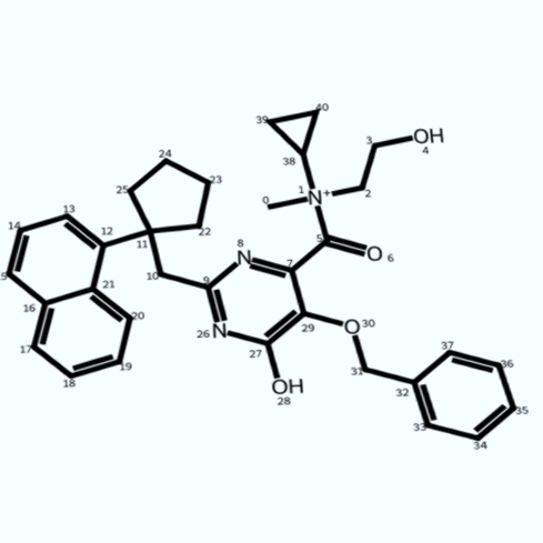 C[N+](CCO)(C(=O)c1nc(CC2(c3cccc4ccccc34)CCCC2)nc(O)c1OCc1ccccc1)C1CC1